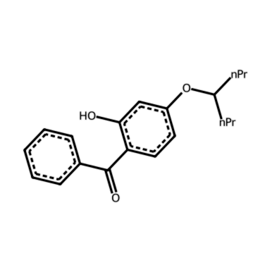 [CH2]CCC(CCC)Oc1ccc(C(=O)c2ccccc2)c(O)c1